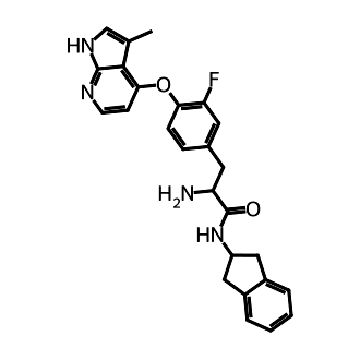 Cc1c[nH]c2nccc(Oc3ccc(CC(N)C(=O)NC4Cc5ccccc5C4)cc3F)c12